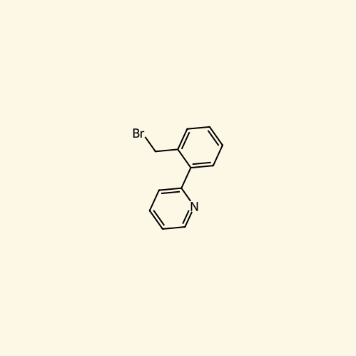 BrCc1ccccc1-c1ccccn1